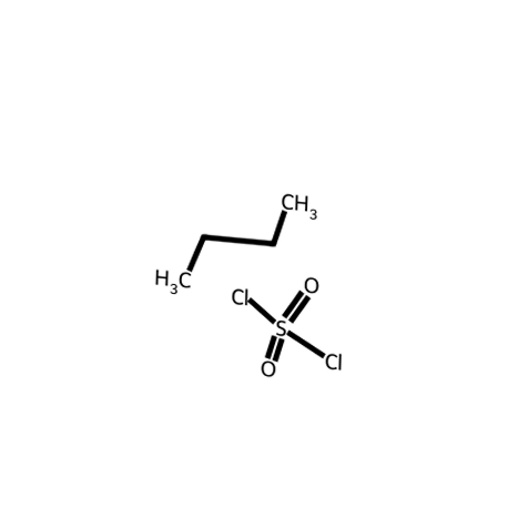 CCCC.O=S(=O)(Cl)Cl